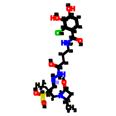 C[C@@H]1CC(=O)N1C[C@](C)(/C=N/NC(=O)CCCNC(=O)c1ccc(O)c(O)c1Cl)[SH](=O)=O